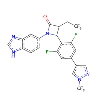 O=C1C(CC(F)(F)F)C(c2c(F)cc(-c3cnn(C(F)(F)F)c3)cc2F)N1c1ccc2[nH]cnc2c1